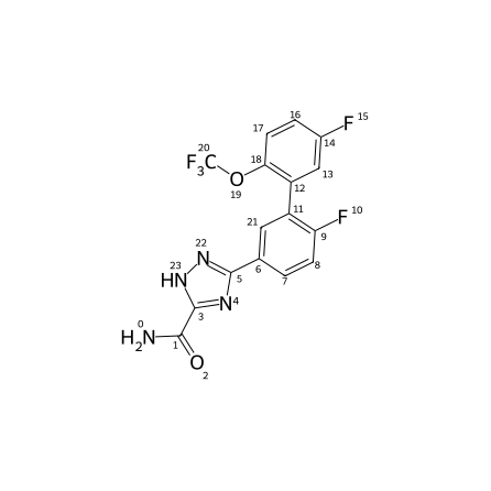 NC(=O)c1nc(-c2ccc(F)c(-c3cc(F)ccc3OC(F)(F)F)c2)n[nH]1